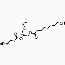 CCCCCCCCCCCCC(=O)O[C@@H](COP=O)COC(=O)CCCCCCCS